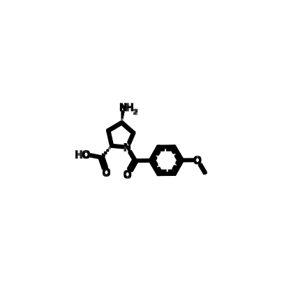 COc1ccc(C(=O)N2C[C@@H](N)C[C@H]2C(=O)O)cc1